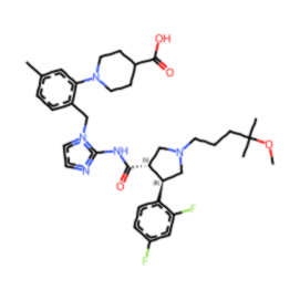 COC(C)(C)CCCN1C[C@@H](C(=O)Nc2nccn2Cc2ccc(C)cc2N2CCC(C(=O)O)CC2)[C@H](c2ccc(F)cc2F)C1